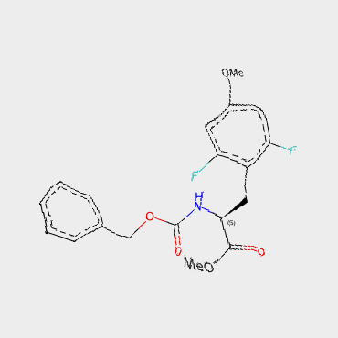 COC(=O)[C@H](Cc1c(F)cc(OC)cc1F)NC(=O)OCc1ccccc1